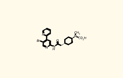 CN(C(=O)O)[C@H]1CC[C@H](CC(=O)Nc2cc(-c3ccccn3)c(Br)cn2)CC1